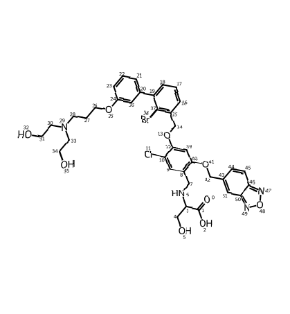 O=C(O)C(CO)NCc1cc(Cl)c(OCc2cccc(-c3cccc(OCCCN(CCO)CCO)c3)c2Br)cc1OCc1ccc2nonc2c1